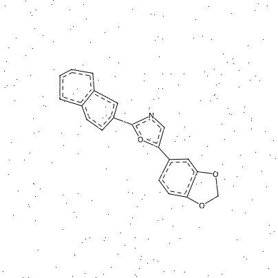 c1ccc2cc(-c3ncc(-c4ccc5c(c4)OCO5)o3)ccc2c1